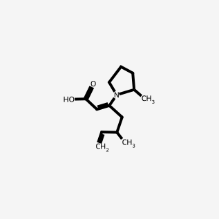 C=CC(C)CC(=CC(=O)O)N1CCCC1C